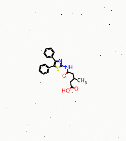 CC(CC(=O)O)CC(=O)Nc1nc(-c2ccccc2)c(-c2ccccc2)s1